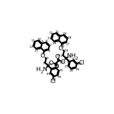 NC(CCOc1cccc2ccccc12)(OC(=O)C(=O)OC(N)(CCOc1cccc2ccccc12)c1cccc(Cl)c1)c1cccc(Cl)c1